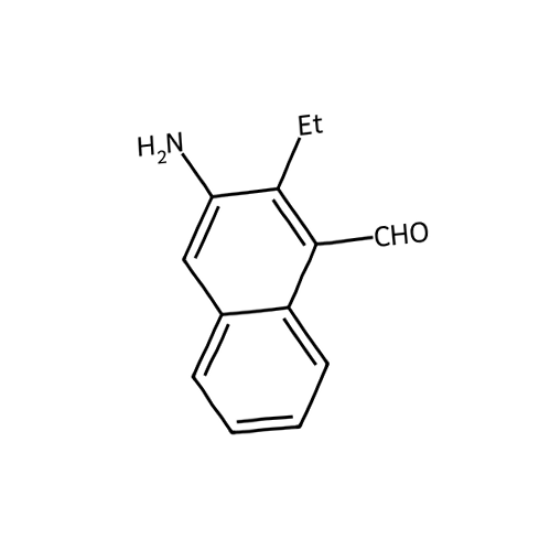 CCc1c(N)cc2ccccc2c1C=O